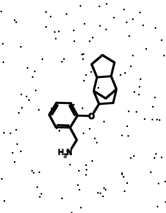 NCc1ccccc1OC1CC2CC1C1CCCC21